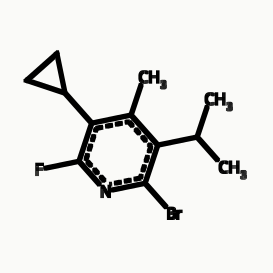 Cc1c(C(C)C)c(Br)nc(F)c1C1CC1